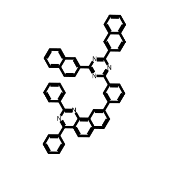 c1ccc(-c2nc(-c3ccccc3)c3ccc4ccc(-c5cccc(-c6nc(-c7ccc8ccccc8c7)nc(-c7ccc8ccccc8c7)n6)c5)cc4c3n2)cc1